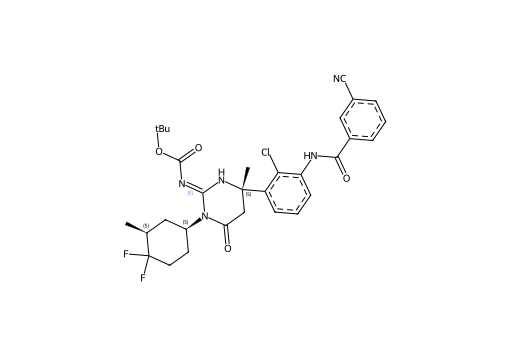 C[C@H]1C[C@@H](N2C(=O)C[C@@](C)(c3cccc(NC(=O)c4cccc(C#N)c4)c3Cl)N/C2=N\C(=O)OC(C)(C)C)CCC1(F)F